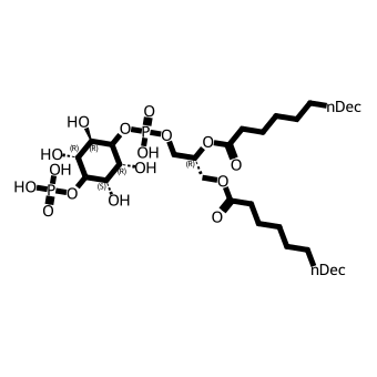 CCCCCCCCCCCCCCCC(=O)OC[C@H](COP(=O)(O)OC1[C@H](O)[C@H](O)C(OP(=O)(O)O)[C@H](O)[C@H]1O)OC(=O)CCCCCCCCCCCCCCC